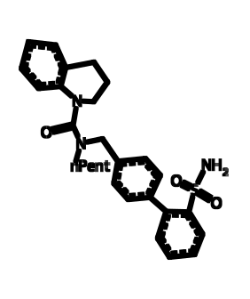 CCCCCN(Cc1ccc(-c2ccccc2S(N)(=O)=O)cc1)C(=O)N1CCCc2ccccc21